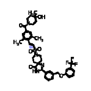 Cc1cc(C(=O)N2CCC(C)(O)CC2)cc(C)c1/C=C/S(=O)(=O)N1CCC2(CC1)N=C(c1cccc(COc3cccc(C(F)(F)F)c3)c1)NC2=O